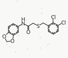 O=C(CSCc1cccc(Cl)c1Cl)Nc1ccc2c(c1)OCO2